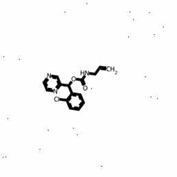 C=CCNC(=O)OC(c1cnccn1)c1ccccc1Cl